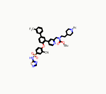 CC(=O)N1CCC(CCN(Cc2cc(-c3cc(-c4cccc(C(F)(F)F)c4)ccc3Oc3ccc(S(=O)(=O)Nc4ncns4)cc3C#N)ccn2)C(=O)OC(C)(C)C)CC1